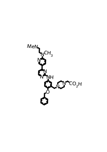 CNCCN(C)c1ccc(-c2ccnc(Nc3ccc(OCc4ccccc4)c(CN4CCN(CC(=O)O)CC4)c3)n2)cn1